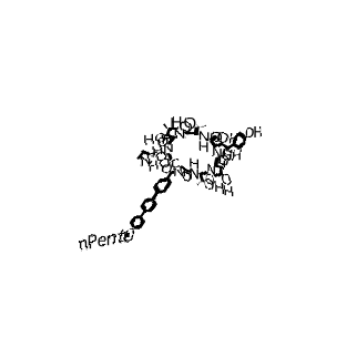 CCCCCOc1ccc(-c2ccc(-c3ccc(C(=O)N[C@H]4C[C@@H](O)[C@@H](OC[C@@H]5CC[N+]5(C)C)NC(=O)[C@@H]5[C@@H](O)[C@@H](C)CN5C(=O)[C@H]([C@@H](C)O)NC(=O)[C@H]([C@H](O)[C@@H](O)c5ccc(O)cc5)NC(=O)[C@@H]5C[C@@H](O)CN5C(=O)[C@H]([C@@H](C)O)NC4=O)cc3)cc2)cc1